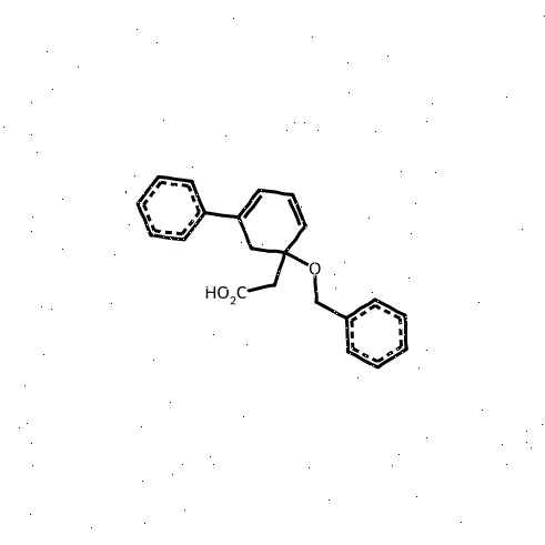 O=C(O)CC1(OCc2ccccc2)C=CC=C(c2ccccc2)C1